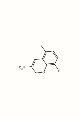 Cc1ccc(F)c2c1C=C([N+](=O)[O-])CO2